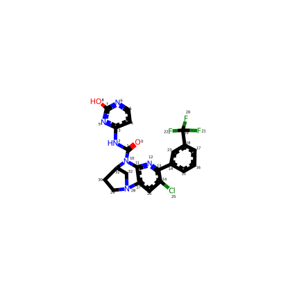 O=C(Nc1ccnc(O)n1)N1c2nc(-c3cccc(C(F)(F)F)c3)c(Cl)cc2N2CCC1C2